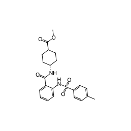 COC(=O)[C@H]1CC[C@H](NC(=O)c2ccccc2NS(=O)(=O)c2ccc(C)cc2)CC1